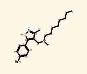 CCCCCCCCN(C)Cc1c(C)noc1-c1ccc(Br)cc1